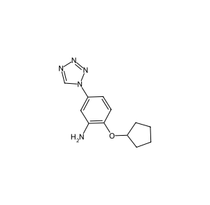 Nc1cc(-n2cnnn2)ccc1OC1CCCC1